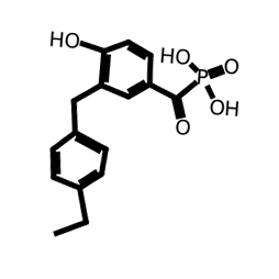 CCc1ccc(Cc2cc(C(=O)P(=O)(O)O)ccc2O)cc1